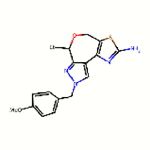 CCC1OCc2sc(N)nc2-c2cn(Cc3ccc(OC)cc3)nc21